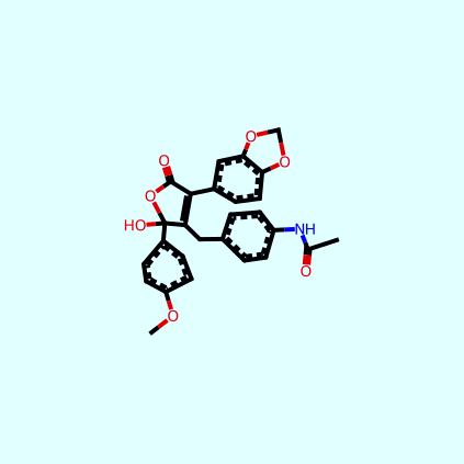 COc1ccc(C2(O)OC(=O)C(c3ccc4c(c3)OCO4)=C2Cc2ccc(NC(C)=O)cc2)cc1